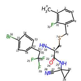 Cc1cccc(CSC[C@H](N[C@@H](c2ccc(Br)cc2)C(F)(F)F)C(=O)NC2(C#N)CC2)c1F